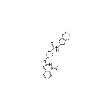 CN(C)c1nc(NC2CCC(C(=O)NC3Cc4ccccc4C3)CC2)nc2ccccc12